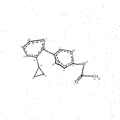 CC(=O)Oc1ccc(-c2nccnc2C2CC2)cc1